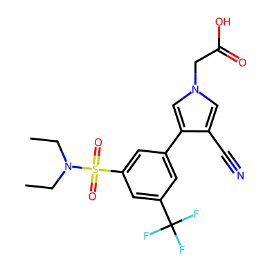 CCN(CC)S(=O)(=O)c1cc(-c2cn(CC(=O)O)cc2C#N)cc(C(F)(F)F)c1